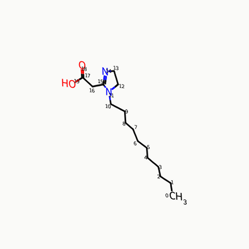 CCCCCCCCCCCN1CCN=C1CC(=O)O